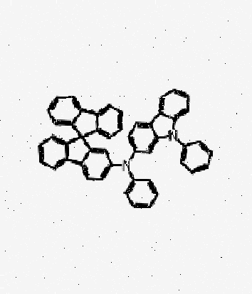 c1ccc(N(c2ccc3c(c2)C2(c4ccccc4-c4ccccc42)c2ccccc2-3)c2ccc3c4ccccc4n(-c4ccccc4)c3c2)cc1